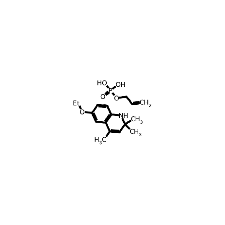 C=CCOP(=O)(O)O.CCOc1ccc2c(c1)C(C)=CC(C)(C)N2